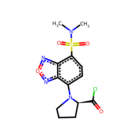 CN(C)S(=O)(=O)c1ccc(N2CCC[C@@H]2C(=O)Cl)c2nonc12